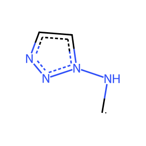 [CH2]Nn1ccnn1